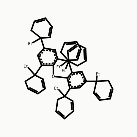 CCC1(c2cc(C3(CC)C=CC=CC3)c(Oc3c(C4(CC)C=CC=CC4)cc(C4(CC)C=CC=CC4)cc3C3(CC)C=CC=CC3)c(C3(CC)C=CC=CC3)c2)C=CC=CC1